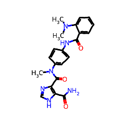 CN(C)c1ccccc1C(=O)Nc1ccc(N(C)C(=O)c2nc[nH]c2C(N)=O)cc1